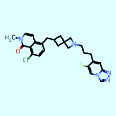 Cn1ccc2c(CC3CC4(C3)CN(CCCc3cc5nncn5cc3F)C4)ccc(Cl)c2c1=O